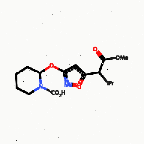 COC(=O)C(c1cc(OC2CCCCN2C(=O)O)no1)C(C)C